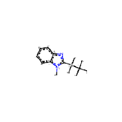 Cn1c([Si](C)(C)C(C)(C)C)nc2ccccc21